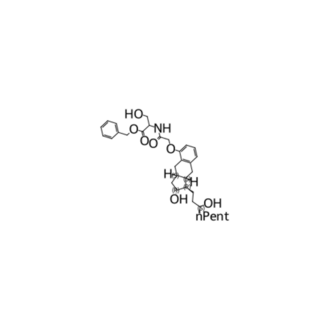 CCCCC[C@H](O)CC[C@@H]1[C@H]2Cc3cccc(OCC(=O)NC(CO)C(=O)OCc4ccccc4)c3C[C@H]2C[C@H]1O